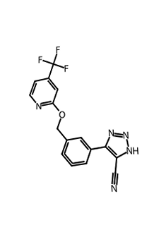 N#Cc1[nH]nnc1C1=CC(COc2cc(C(F)(F)F)ccn2)=C=C=C1